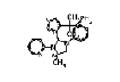 C[C@@H]1CN(c2ccccc2)C(n2nncc2C(C)(C)OP)N1c1ccccn1